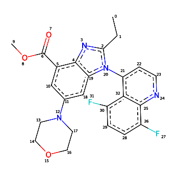 CCc1nc2c(C(=O)OC)cc(N3CCOCC3)cc2n1-c1ccnc2c(F)ccc(F)c12